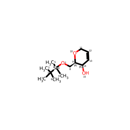 CC(C)(C)[Si](C)(C)OC[C@H]1OCC=C[C@H]1O